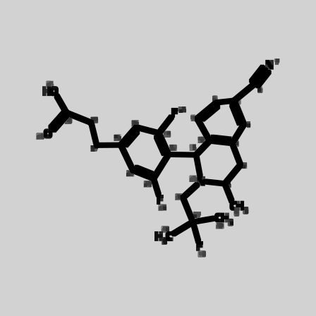 CC1Cc2cc(C#N)ccc2C(c2c(F)cc(CCC(=O)O)cc2F)N1CC(C)(C)F